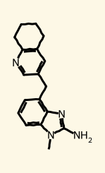 Cn1c(N)nc2c(Cc3cnc4c(c3)CCCC4)cccc21